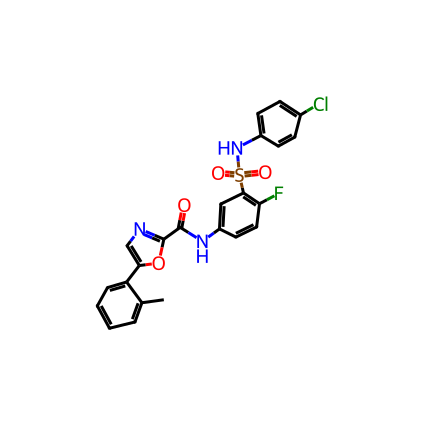 Cc1ccccc1-c1cnc(C(=O)Nc2ccc(F)c(S(=O)(=O)Nc3ccc(Cl)cc3)c2)o1